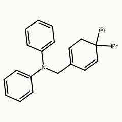 CC(C)C1(C(C)C)C=CC(CN(c2ccccc2)c2ccccc2)=CC1